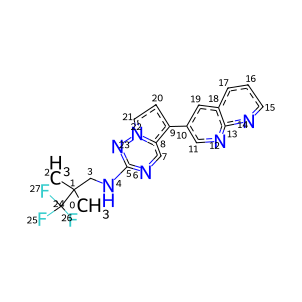 CC(C)(CNc1ncc2c(-c3cnc4ncccc4c3)ccn2n1)C(F)(F)F